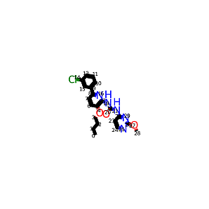 CCCCOc1ccc(-c2cccc(Cl)c2)nc1NC(=O)Nc1ccnc(OC)n1